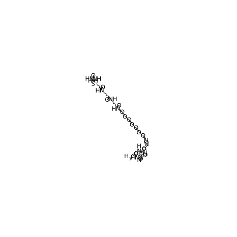 Cc1ccc(NC(=O)c2ccc(CN3CCN(CCOCCOCCOCCOCCOCCOCCOCCNC(=O)CCCCCNC(=O)CCCCCNC(=O)CCCC[C@@H]4SC[C@@H]5NC(=O)N[C@@H]54)CC3)cc2)cc1Nc1nccc(-c2cccnc2)n1